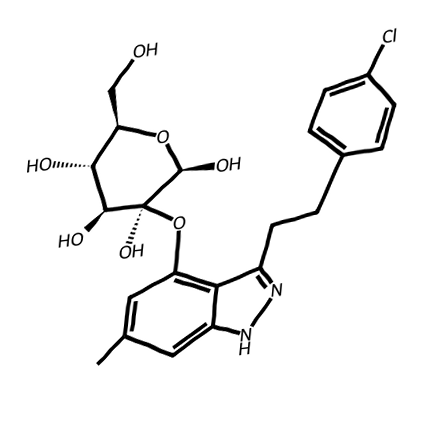 Cc1cc(O[C@]2(O)[C@H](O)O[C@H](CO)[C@@H](O)[C@@H]2O)c2c(CCc3ccc(Cl)cc3)n[nH]c2c1